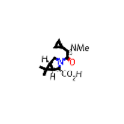 CN[C@H](C(=O)N1C[C@H]2[C@@H]([C@H]1C(=O)O)C2(C)C)C1CC1